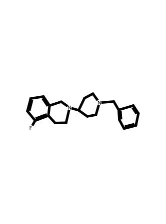 Fc1cccc2c1CCN(C1CCN(Cc3ccccc3)CC1)C2